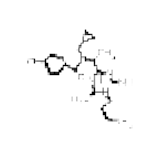 C=C(/N=C\C=C/N)N/C(=N\C=N)C(C)N(CC1CC1)C(=O)c1ccc(Cl)cc1